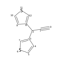 C#CC(c1ccsc1)c1ccsc1